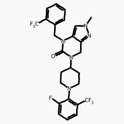 Cn1cc2c(n1)CN(C1CCN(c3c(F)cccc3C(F)(F)F)CC1)C(=O)N2Cc1ccccc1C(F)(F)F